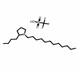 CCCCCCCCCCCCN1CCCC1CCCC.O=S(=O)(O)C(F)(F)F